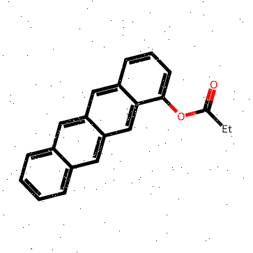 CCC(=O)Oc1cccc2cc3cc4ccccc4cc3cc12